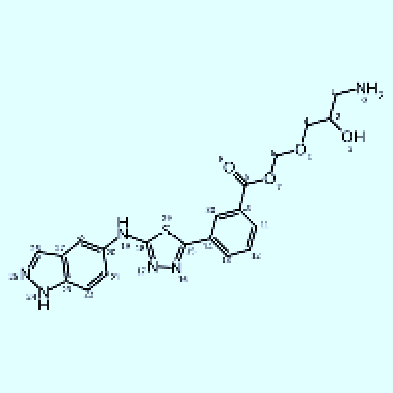 NCC(O)COCOC(=O)c1cccc(-c2nnc(Nc3ccc4[nH]ncc4c3)s2)c1